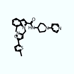 Cc1ccc(-c2cc(Cn3c(C(=O)NC4CCN(c5ccncc5)CC4)cc4cccc(C)c43)no2)s1